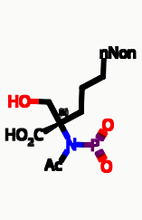 CCCCCCCCCCCC[C@](CO)(C(=O)O)N(C(C)=O)P(=O)=O